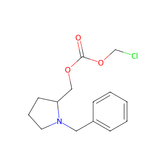 O=C(OCCl)OCC1CCCN1Cc1ccccc1